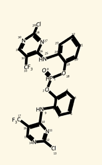 O=[PH](Oc1ccccc1Nc1nc(Cl)ncc1C(F)(F)F)Oc1ccccc1Nc1nc(Cl)ncc1C(F)(F)F